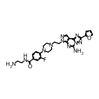 NCCNC(=O)c1ccc(N2CCN(CCn3ncc4c3nc(N)n3nc(-c5ccco5)nc43)CC2)c(F)c1